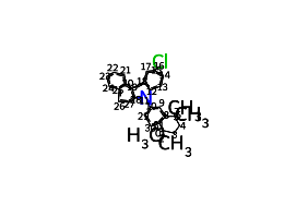 CC1(C)CCC(C)(C)c2cc(-n3c4ccc(Cl)cc4c4c5ccccc5ccc43)ccc21